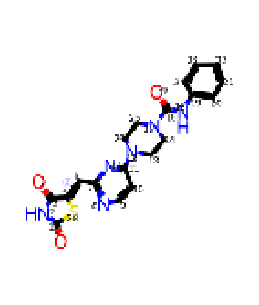 O=C1NC(=O)/C(=C/c2nccc(N3CCN(C(=O)Nc4ccccc4)CC3)n2)S1